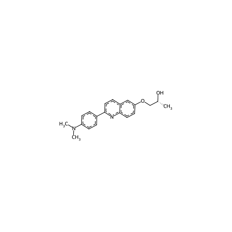 C[C@@H](O)COc1ccc2nc(-c3ccc(N(C)C)cc3)ccc2c1